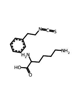 NCCCCC(N)C(=O)O.S=C=NCCc1ccccc1